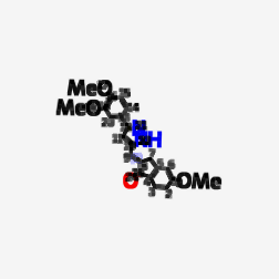 COc1ccc2c(c1)C/C(=C\c1cc(-c3ccc(OC)c(OC)c3)n[nH]1)C2=O